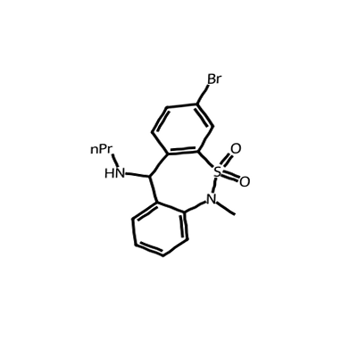 CCCNC1c2ccccc2N(C)S(=O)(=O)c2cc(Br)ccc21